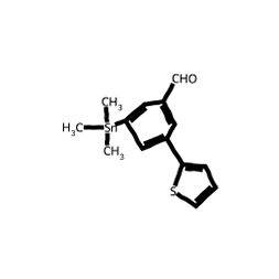 [CH3][Sn]([CH3])([CH3])[c]1cc(C=O)cc(-c2cccs2)c1